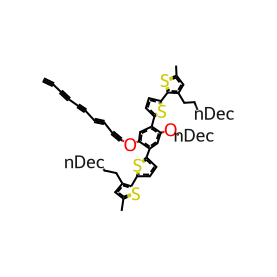 C#CC#CC#CC#CC#COc1cc(-c2ccc(-c3sc(C)cc3CCCCCCCCCCCC)s2)c(OCCCCCCCCCC)cc1-c1ccc(-c2sc(C)cc2CCCCCCCCCCCC)s1